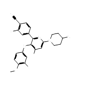 COc1ccc(Nc2c(O)cc(N3CCC(N)CC3)nc2-c2ccc(C#N)c(F)c2)cc1F